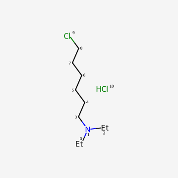 CCN(CC)CCCCCCCl.Cl